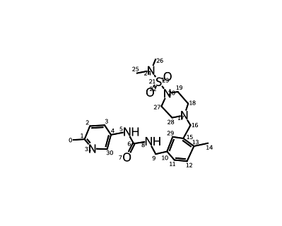 Cc1ccc(NC(=O)NCc2ccc(C)c(CN3CCN(S(=O)(=O)N(C)C)CC3)c2)cn1